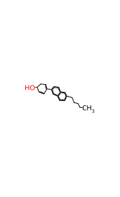 CCCCCc1ccc2cc(C3=CCC(O)C=C3)ccc2c1